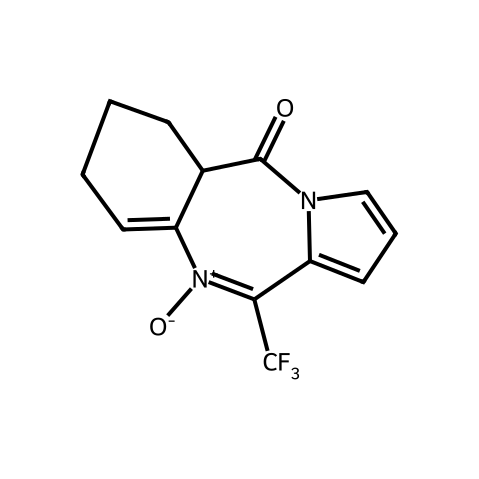 O=C1C2CCCC=C2[N+]([O-])=C(C(F)(F)F)c2cccn21